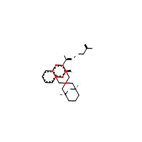 NC(=O)CO/N=C(\C(=O)O)c1nc2ccccc2n([C@H]2C[C@H]3CCC[C@@H](C2)N3[C@H]2C[C@@H]3CCC[C@@H](C3)C2)c1=O